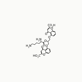 NCCCCC(N)C(=O)OC(COc1cccc2oc(C(=O)O)cc(=O)c12)COc1cccc2oc(C(=O)O)cc(=O)c12